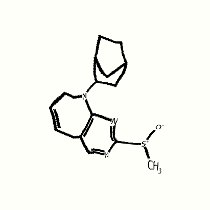 C[S+]([O-])c1ncc2c(n1)N(C1CC3CCC1C3)CC=C2